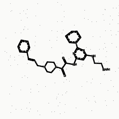 CC(=O)NCCNc1cc(NC(=O)C(=O)N2CCN(C/C=C/c3ccccc3)CC2)nc(-c2ccccc2)n1